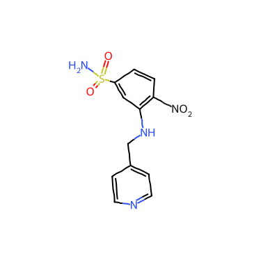 NS(=O)(=O)c1ccc([N+](=O)[O-])c(NCc2ccncc2)c1